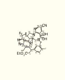 CCOC(=O)CC(c1ccc(C)c(CN2C[C@@H]3CCCN3c3ncc(C#N)cc3S2(O)O)c1)c1ccn2c(C(F)F)nnc2c1C